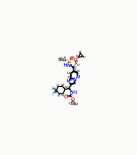 CC(C)(C)OC(=O)N[C@H](c1cn2ncc([C@@H](COC3CC3)N[S+]([O-])C(C)(C)C)cc2n1)C1CCC(F)(F)CC1